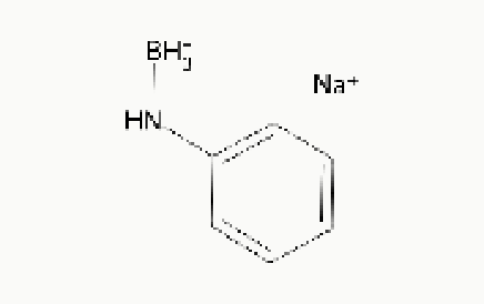 [BH3-]Nc1ccccc1.[Na+]